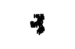 O=C(O)CCCCN(C(=O)Nc1ccc(OC(F)(F)CC(F)(F)F)cc1)c1cc(S)c2ncsc2n1